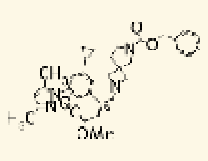 COC(=C=O)C[C@H](CN1CC2(CCN(C(=O)OCc3ccccc3)C2)C1)c1cc(C2CC2)cc(-n2nc(C)cc2C)c1